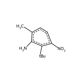 Cc1ccc([N+](=O)[O-])c(C(C)(C)C)c1N